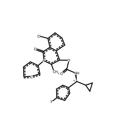 Cc1c(OC(=O)N[C@H](c2ccc(F)cc2)C2CC2)c2cccc(Cl)c2c(=O)n1-c1ccccc1